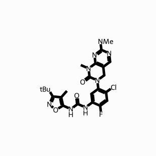 CNc1ncc2c(n1)N(C)C(=O)N(c1cc(NC(=O)Nc3onc(C(C)(C)C)c3C)c(F)cc1Cl)C2